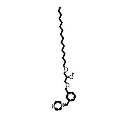 CCCCCCCCCCCCCCCCOCC(COCc1cccc(C[n+]2ccncc2)c1)OC